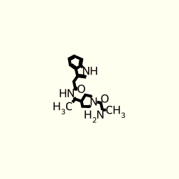 CC(N)C(=O)N1CCC(C(C)NC(=O)Cc2c[nH]c3ccccc23)CC1